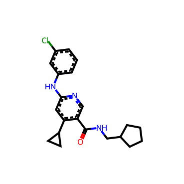 O=C(NCC1CCCC1)c1cnc(Nc2cccc(Cl)c2)cc1C1CC1